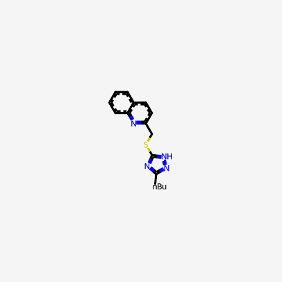 CCCCc1n[nH]c(SCc2ccc3ccccc3n2)n1